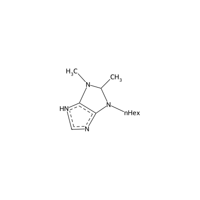 CCCCCCN1c2nc[nH]c2N(C)C1C